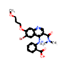 COCCCOc1cc2ncc(C(=O)N(C)C)c(Nc3ccccc3C(=O)O)c2cc1Br